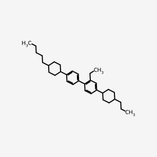 CCCCCC1CCC(c2ccc(-c3ccc(C4CCC(CCC)CC4)cc3CC)cc2)CC1